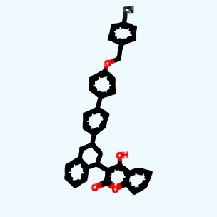 N#Cc1ccc(COc2ccc(-c3ccc(C4Cc5ccccc5C(c5c(O)c6ccccc6oc5=O)C4)cc3)cc2)cc1